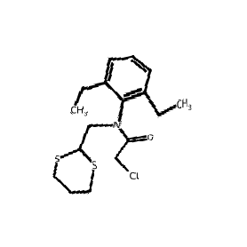 CCc1cccc(CC)c1N(CC1SCCCS1)C(=O)CCl